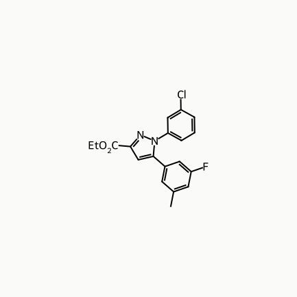 CCOC(=O)c1cc(-c2cc(C)cc(F)c2)n(-c2cccc(Cl)c2)n1